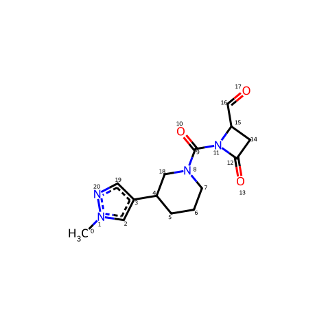 Cn1cc(C2CCCN(C(=O)N3C(=O)CC3C=O)C2)cn1